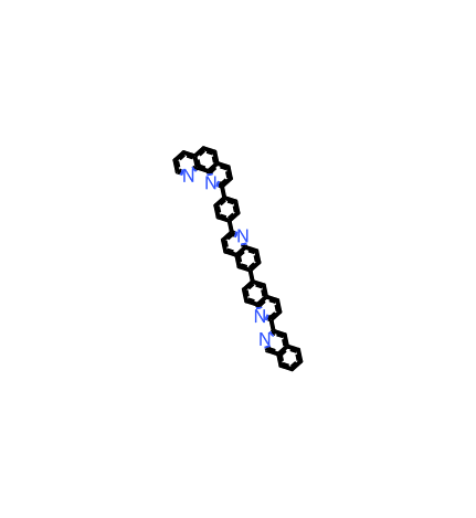 c1ccc2cc(-c3ccc4cc(-c5ccc6nc(-c7ccc(-c8ccc9ccc%10cccnc%10c9n8)cc7)ccc6c5)ccc4n3)ncc2c1